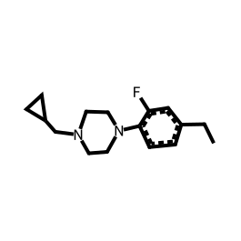 CCc1ccc(N2CCN(CC3CC3)CC2)c(F)c1